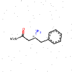 CNC(=O)C[C@H](N)Cc1ccccc1